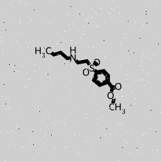 CCCCNCCS(=O)(=O)c1ccc(C(=O)OCC)cc1